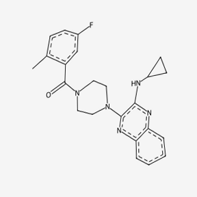 Cc1ccc(F)cc1C(=O)N1CCN(c2nc3ccccc3nc2NC2CC2)CC1